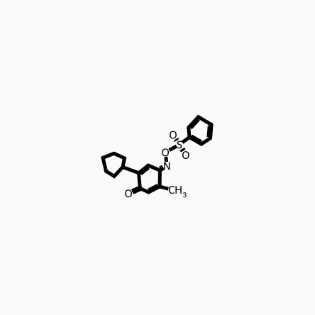 CC1=CC(=O)C(C2CCCCC2)=CC1=NOS(=O)(=O)c1ccccc1